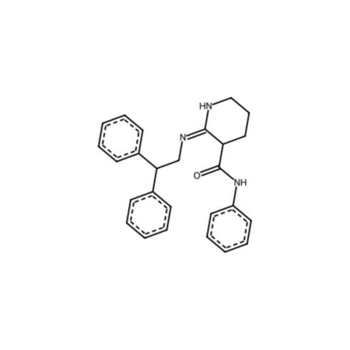 O=C(Nc1ccccc1)C1CCCN/C1=N/CC(c1ccccc1)c1ccccc1